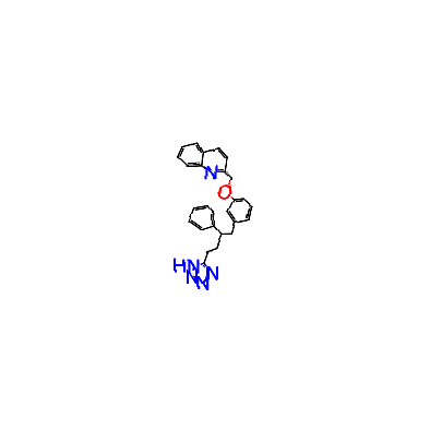 c1ccc(C(CCc2nnn[nH]2)Cc2cccc(OCc3ccc4ccccc4n3)c2)cc1